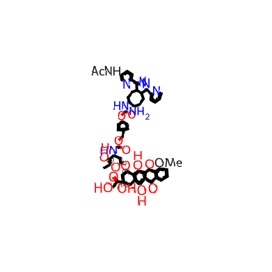 COc1cccc2c1C(=O)c1c(O)c3c(c(O)c1C2=O)C[C@@](O)(C(=O)CO)C[C@@H]3O[C@H]1CC(NC(=O)OCc2ccc(OC(=O)NC3CCC4C(c5ccc(NC(C)=O)cn5)=NN=C(c5ccccn5)C4CCC3N)cc2)[C@H](O)C(C)O1